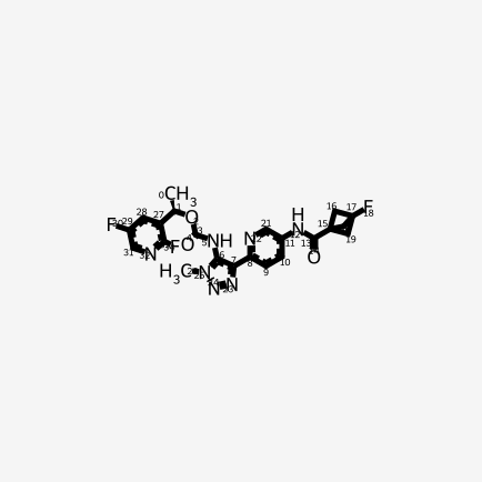 C[C@@H](OC(=O)Nc1c(-c2ccc(NC(=O)C34CC(F)(C3)C4)cn2)nnn1C)c1cc(F)cnc1F